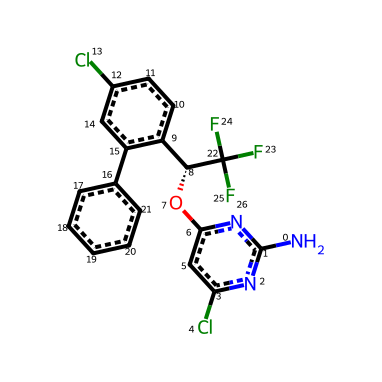 Nc1nc(Cl)cc(O[C@H](c2ccc(Cl)cc2-c2ccccc2)C(F)(F)F)n1